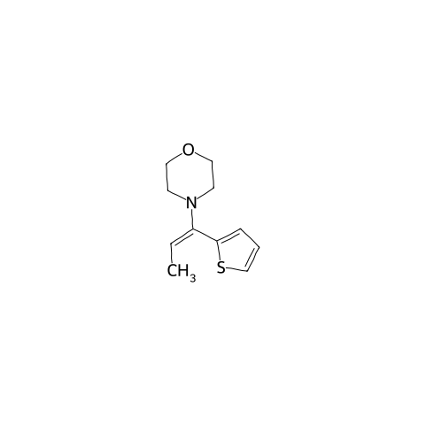 CC=C(c1cccs1)N1CCOCC1